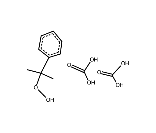 CC(C)(OO)c1ccccc1.O=C(O)O.O=C(O)O